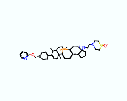 CC1C(C2=CCB(COc3ccccn3)CC2)=CCC2(C)C1CC[PH]1(C)C3CCC4(NCCN5CC[S+]([O-])CC5)CCCC4C3CCC21